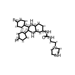 O=C(NCCN1CCNCC1)NC1CCC2NC(C3CCC(F)CC3)C(C3CCC(F)CC3)NC2C1